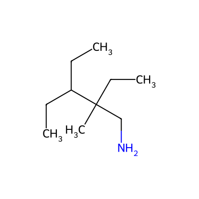 CCC(CC)C(C)(CC)CN